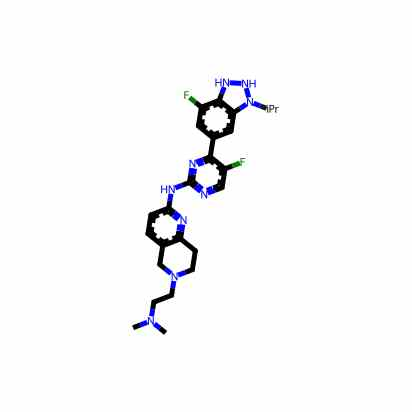 CC(C)N1NNc2c(F)cc(-c3nc(Nc4ccc5c(n4)CCN(CCN(C)C)C5)ncc3F)cc21